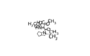 COC(=O)N[C@H](C(=O)N1C(C(C)C)CC2CCCC21)[C@H](C)OC